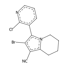 N#Cc1c(Br)c(-c2cccnc2Cl)n2c1CCCC2